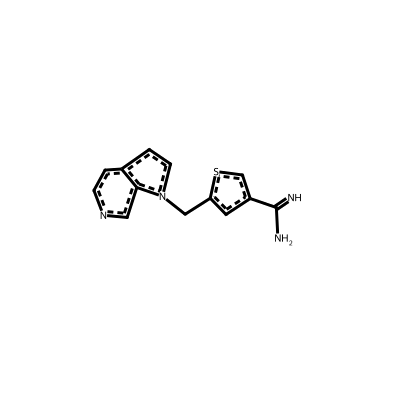 N=C(N)c1csc(Cn2ccc3ccncc32)c1